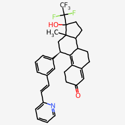 CC12C[C@H](c3cccc(/C=C/c4ccccn4)c3)C3=C4CCC(=O)C=C4CCC3C1CCC2(O)C(F)(F)C(F)(F)F